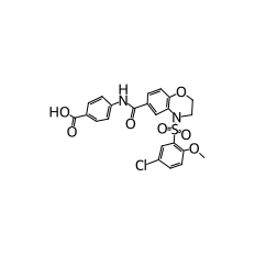 COc1ccc(Cl)cc1S(=O)(=O)N1CCOc2ccc(C(=O)Nc3ccc(C(=O)O)cc3)cc21